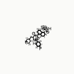 CC(C)(C)NS(=O)(=O)c1cccc2c(NC(=O)[C@H](CC3CCOCC3)NC(=O)c3ccc(F)cc3)cccc12